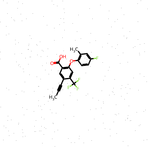 CC#Cc1cc(C(=O)O)c(Oc2ccc(F)cc2C)cc1C(F)(F)F